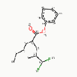 CCCCC(CC(C)C(F)F)C(=O)Oc1ccccc1